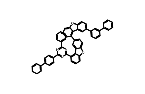 C1=CC(c2ccc(-c3nc(-c4ccccc4)nc(-c4cccc5oc6ccc(-c7cccc8oc9ccc(-c%10cccc(-c%11ccccc%11)c%10)cc9c78)cc6c45)n3)cc2)=CCC1